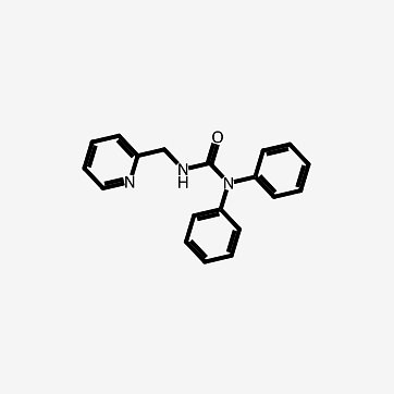 O=C(NCc1ccccn1)N(c1ccccc1)c1ccccc1